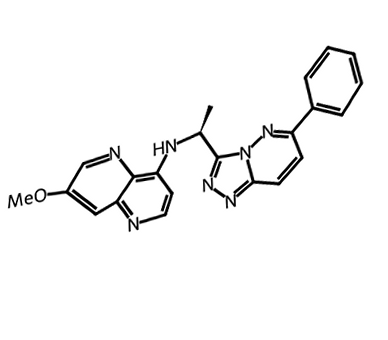 COc1cnc2c(N[C@@H](C)c3nnc4ccc(-c5ccccc5)nn34)ccnc2c1